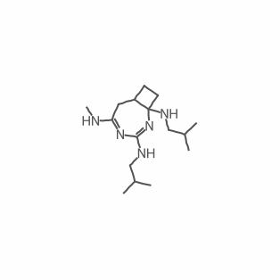 CNC1=NC(NCC(C)C)=NC2(NCC(C)C)CCC2C1